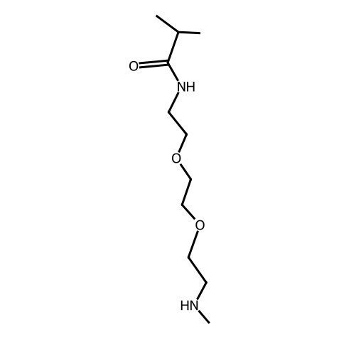 CNCCOCCOCCNC(=O)C(C)C